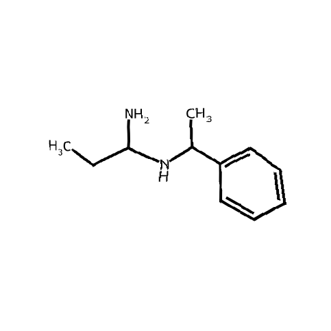 CCC(N)NC(C)c1ccccc1